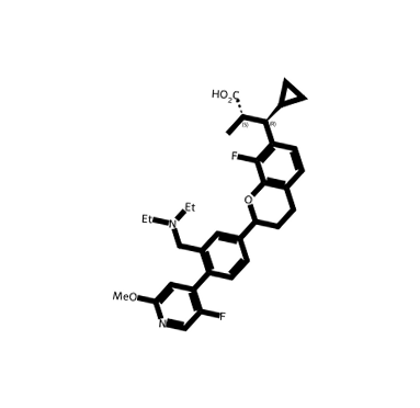 CCN(CC)Cc1cc(C2CCc3ccc([C@H](C4CC4)[C@H](C)C(=O)O)c(F)c3O2)ccc1-c1cc(OC)ncc1F